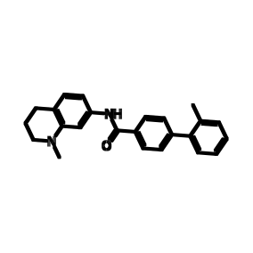 Cc1ccccc1-c1ccc(C(=O)Nc2ccc3c(c2)N(C)CCC3)cc1